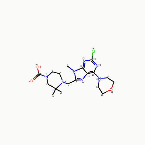 Cn1c(CN2CCN(C(=O)O)CC2(C)C)nc2c(N3CCOCC3)nc(Cl)nc21